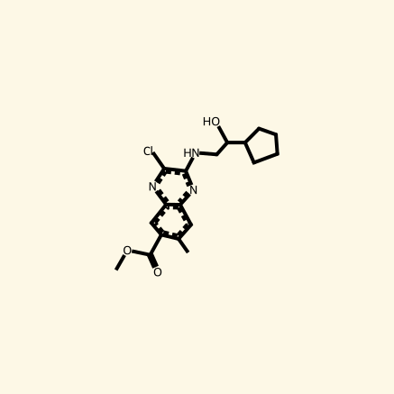 COC(=O)c1cc2nc(Cl)c(NCC(O)C3CCCC3)nc2cc1C